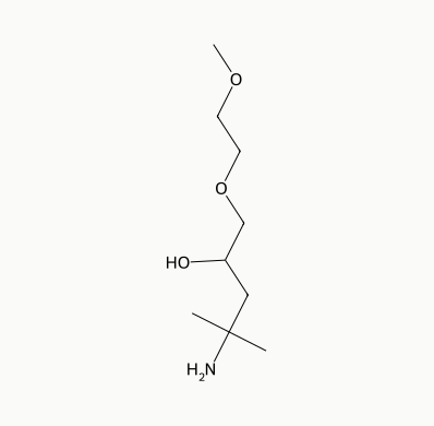 COCCOCC(O)CC(C)(C)N